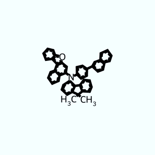 CC1(C)c2ccccc2-c2c(N(c3ccc(-c4ccc5ccccc5c4)cc3)c3cc4oc5ccccc5c4c4ccccc34)cccc21